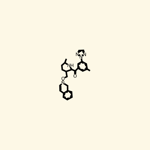 Cc1cc(C(=O)C2NC(C)CCC2CON2C=Cc3ccccc3C2)cc(-n2nccn2)c1